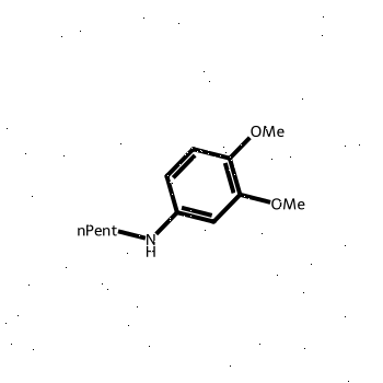 CCCCCNc1ccc(OC)c(OC)c1